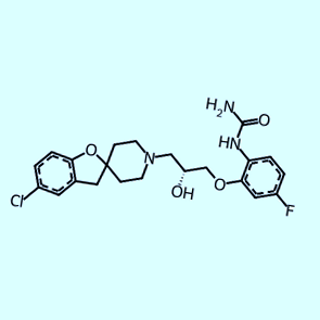 NC(=O)Nc1ccc(F)cc1OC[C@H](O)CN1CCC2(CC1)Cc1cc(Cl)ccc1O2